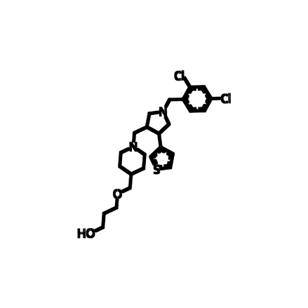 OCCCOCC1CCN(CC2CN(Cc3ccc(Cl)cc3Cl)CC2c2ccsc2)CC1